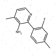 Cc1ccc(-c2nccc(C)c2N)c(F)c1